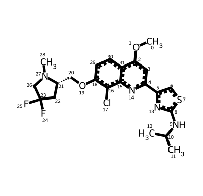 COc1cc(-c2csc(NC(C)C)n2)nc2c(Cl)c(OC[C@@H]3CC(F)(F)CN3C)ccc12